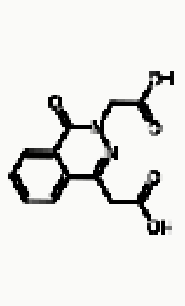 O=C(O)Cc1nn(CC(=O)O)c(=O)c2ccccc12